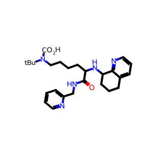 CC(C)(C)N(CCCCC(NC1CCCc2cccnc21)C(=O)NCc1ccccn1)C(=O)O